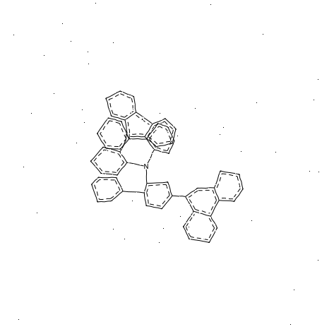 c1ccc(-c2ccccc2N(c2cc(-c3cc4ccccc4c4ccccc34)ccc2-c2ccccc2)c2ccccc2-n2c3ccccc3c3ccccc32)cc1